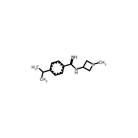 CC(C)c1ccc(C(=N)NC2CN(C)C2)cc1